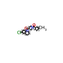 Cc1cccc(C(=O)N2CCC(C(=O)N3CCCCc4cc(Cl)ccc43)CC2)c1